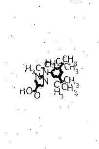 CC(C)N(c1cc(C(C)(C)C)cc(C(C)(C)C)c1)c1ncc(C(=O)O)cn1